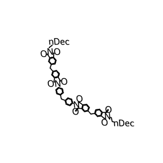 CCCCCCCCCCCCN1C(=O)c2ccc(Cc3ccc4c(c3)C(=O)N(c3ccc(Cc5ccc(N6C(=O)c7ccc(Cc8ccc9c(c8)C(=O)N(CCCCCCCCCCCC)C9=O)cc7C6=O)cc5)cc3)C4=O)cc2C1=O